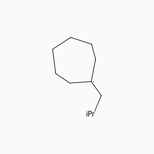 CC(C)C[C]1CCCCCC1